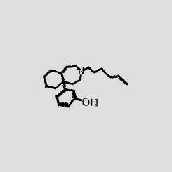 C=CCCCCN1CCC2CCCCC2(c2cccc(O)c2)CC1